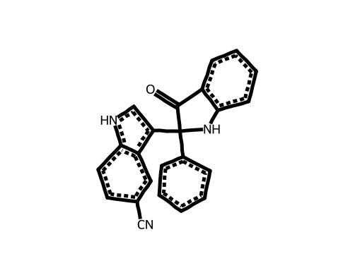 N#Cc1ccc2[nH]cc(C3(c4ccccc4)Nc4ccccc4C3=O)c2c1